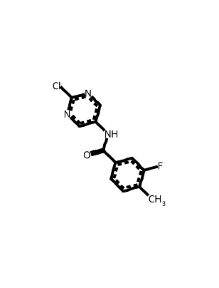 Cc1ccc(C(=O)Nc2cnc(Cl)nc2)cc1F